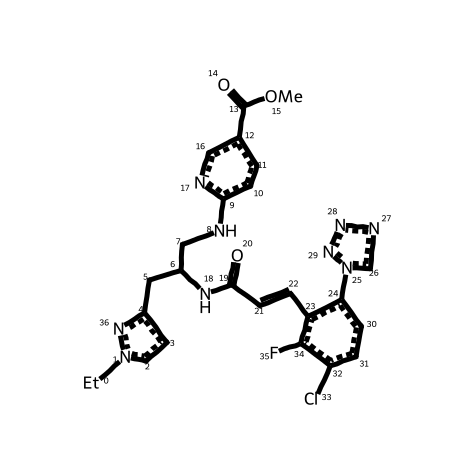 CCn1ccc(CC(CNc2ccc(C(=O)OC)cn2)NC(=O)C=Cc2c(-n3cnnn3)ccc(Cl)c2F)n1